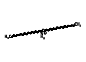 CCCCCCCCCCCCCCCCCC(=O)OC(N)CCCCCCCCCCCCCCCCC